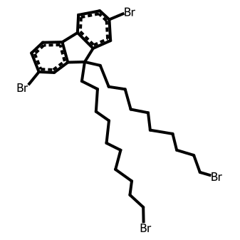 BrCCCCCCCCCCC1(CCCCCCCCCCBr)c2cc(Br)ccc2-c2ccc(Br)cc21